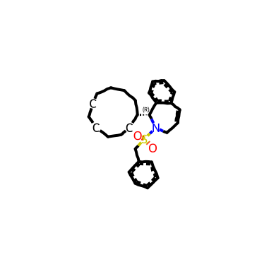 O=S(=O)(Cc1ccccc1)N1CC=Cc2ccccc2[C@H]1C1CCCCCCCCCC1